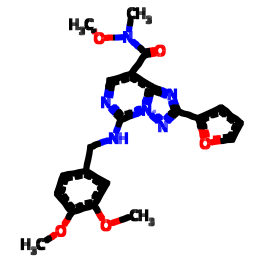 COc1ccc(CNc2ncc(C(=O)N(C)OC)c3nc(-c4ccco4)nn23)cc1OC